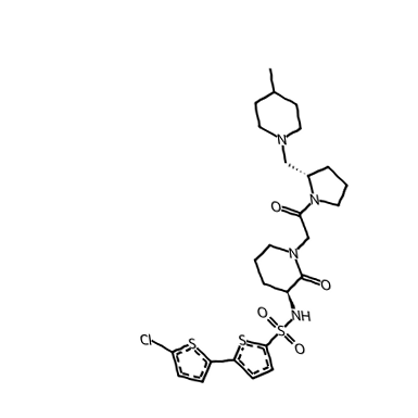 CC1CCN(C[C@@H]2CCCN2C(=O)CN2CCC[C@H](NS(=O)(=O)c3ccc(-c4ccc(Cl)s4)s3)C2=O)CC1